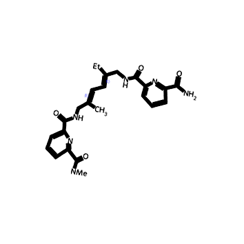 CC/C(=C\C=C(/C)CNC(=O)c1cccc(C(=O)NC)n1)CNC(=O)c1cccc(C(N)=O)n1